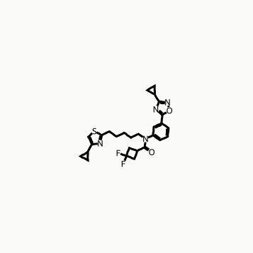 O=C(C1CC(F)(F)C1)N(CCCCCc1nc(C2CC2)cs1)c1cccc(-c2nc(C3CC3)no2)c1